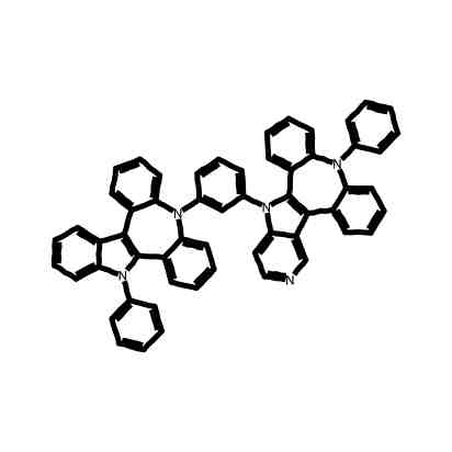 c1ccc(N2c3ccccc3-c3c(n(-c4cccc(N5c6ccccc6-c6c(n(-c7ccccc7)c7ccccc67)-c6ccccc65)c4)c4ccncc34)-c3ccccc32)cc1